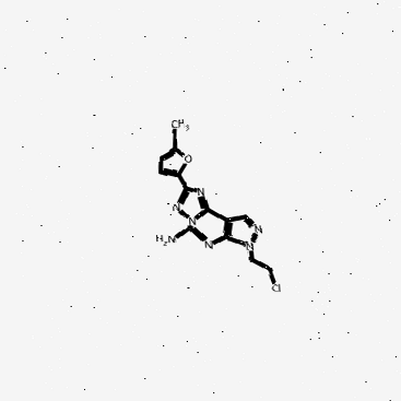 Cc1ccc(-c2nc3c4cnn(CCCl)c4nc(N)n3n2)o1